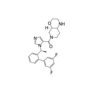 C[C@@H](c1ccccc1-c1cc(F)cc(F)c1)n1cncc1C(=O)N1CCC2NCCO[C@@H]2C1